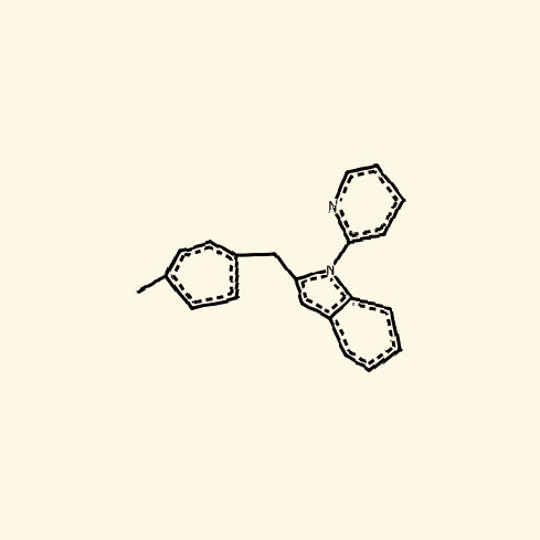 Cc1ccc(Cc2cc3ccccc3n2-c2ccccn2)cc1